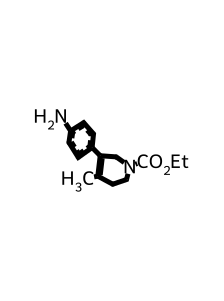 CCOC(=O)N1CCC(C)=C(c2ccc(N)cc2)C1